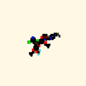 CN1CCN(CCCN(c2ccc(C(=O)O[C@@H](Cc3c(Cl)cncc3Cl)c3ccc(OC(F)F)c(OCC4CC4)c3)cc2OCC2CC2)S(C)(=O)=O)CC1